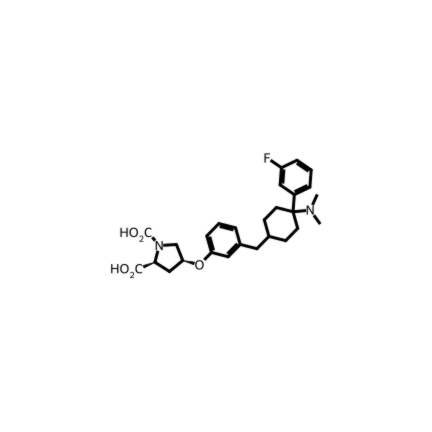 CN(C)C1(c2cccc(F)c2)CCC(Cc2cccc(O[C@H]3C[C@@H](C(=O)O)N(C(=O)O)C3)c2)CC1